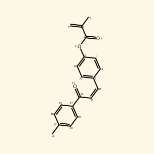 C=C(C)C(=O)Oc1ccc(/C=C\C(=O)c2ccc(C)cc2)cc1